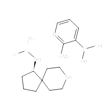 CC(C)(C)[S@@+]([O-])N[C@@H]1CCCC12CCNCC2.COc1ncccc1B(O)O